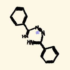 N=C(/N=N\C(=N)c1ccccc1)c1ccccc1